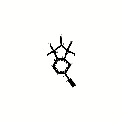 C#Cc1ccc2c(c1)C(C)(C)C(C)C2(C)C